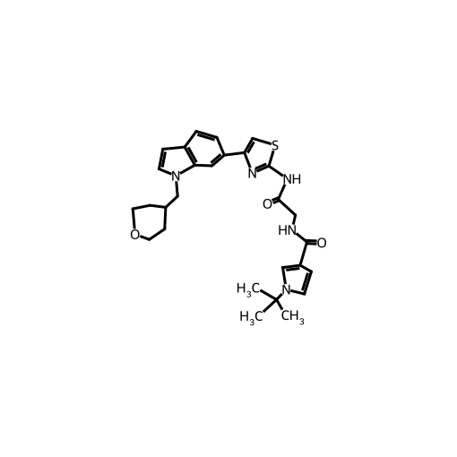 CC(C)(C)n1ccc(C(=O)NCC(=O)Nc2nc(-c3ccc4ccn(CC5CCOCC5)c4c3)cs2)c1